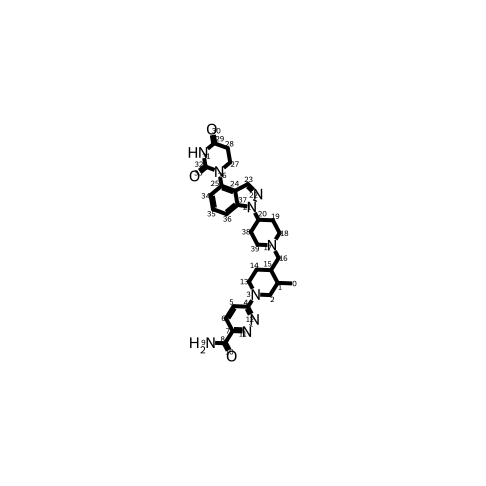 CC1CN(c2ccc(C(N)=O)nn2)CCC1CN1CCC(n2ncc3c(N4CCC(=O)NC4=O)cccc32)CC1